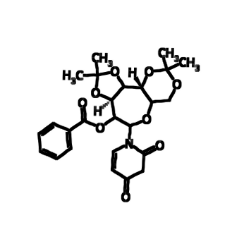 CC1(C)OCC2OC(N3C=CC(=O)CC3=O)C(OC(=O)c3ccccc3)[C@H]3OC(C)(C)OC3[C@@H]2O1